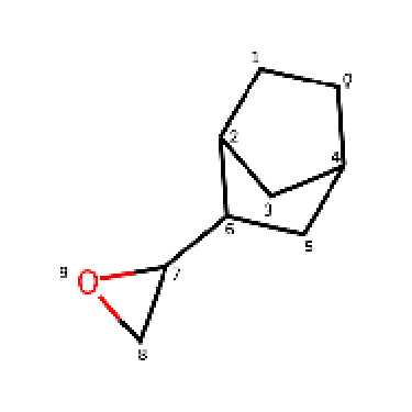 [CH]1CC2CC1CC2C1CO1